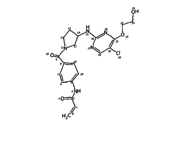 C=CC(=O)Nc1ccc(C(=O)N2CCC(Nc3ncc(Cl)c(OCCO)n3)C2)cc1